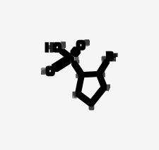 O=S(=O)(O)C1CCCC1Br